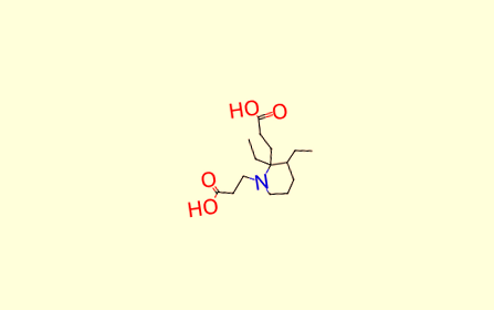 CCC1CCCN(CCC(=O)O)C1(CC)CCC(=O)O